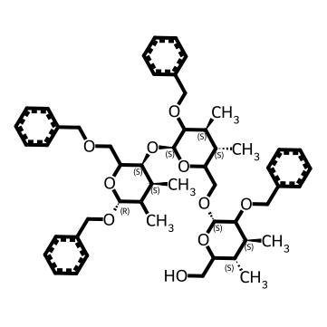 CC1[C@H](OCc2ccccc2)OC(COCc2ccccc2)[C@@H](O[C@@H]2OC(CO[C@H]3OC(CO)[C@@H](C)[C@H](C)C3OCc3ccccc3)[C@@H](C)[C@H](C)C2OCc2ccccc2)[C@H]1C